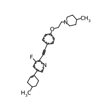 CC1CC=C(c2cnc(C#Cc3ccc(OCCN4CCC(C)CC4)cc3)c(F)c2)CC1